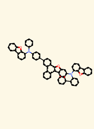 c1ccc(-c2ccccc2N(c2ccc3c(c2)oc2c4ccc(-c5ccc(N(c6ccccc6)c6cccc7c6oc6ccccc67)cc5)cc4c4ccccc4c32)c2cccc3c2oc2ccccc23)cc1